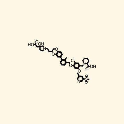 Cc1c(COc2cc(OCc3cncc(S(C)(=O)=O)c3)c(CN3CCCCC3C(=O)O)cc2Cl)cccc1-c1ccc2c(c1)OC(CCN1CCC(O)(CC(=O)O)C1)CO2